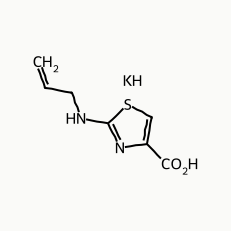 C=CCNc1nc(C(=O)O)cs1.[KH]